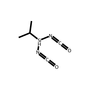 CC(C)[SiH](N=C=O)N=C=O